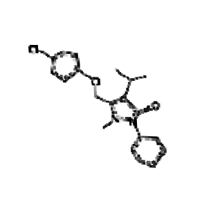 CC(C)c1c(COc2ccc(Cl)cc2)n(C)n(-c2ccccc2)c1=O